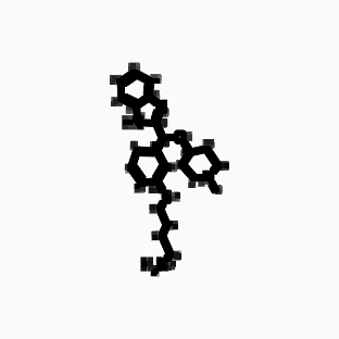 CN1CCC(OC(c2cccc(SCCCCN)c2)c2nc3ccccc3[nH]2)CC1